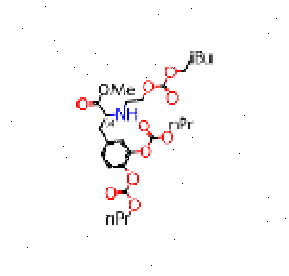 CCCOC(=O)Oc1ccc(C[C@H](NCCOC(=O)OCC(C)CC)C(=O)OC)cc1OC(=O)OCCC